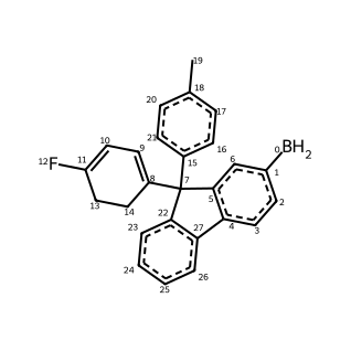 Bc1ccc2c(c1)C(C1=CC=C(F)CC1)(c1ccc(C)cc1)c1ccccc1-2